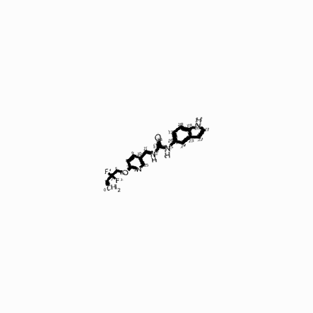 C=CC(F)(F)COc1ccc(CNC(=O)Nc2ccc3[nH]ccc3c2)cn1